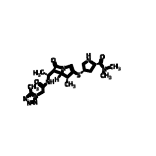 Cc1nnnn1CC(=O)N[C@H](C)[C@H]1C(=O)N2C=C(S[C@@H]3CN[C@H](C(=O)N(C)C)C3)[C@H](C)[C@H]12